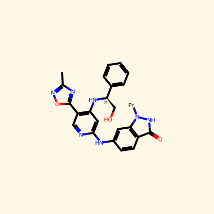 Cc1noc(-c2cnc(Nc3ccc4c(=O)[nH]n(C(C)C)c4c3)cc2N[C@H](CO)c2ccccc2)n1